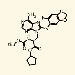 CC(C)(C)OC(=O)N[C@@H](Cn1c(Sc2cc3c(cc2I)OCO3)nc2c(N)ncnc21)C(=O)OC1CCCC1